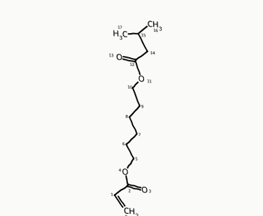 C=CC(=O)OCCCCCCOC(=O)CC(C)C